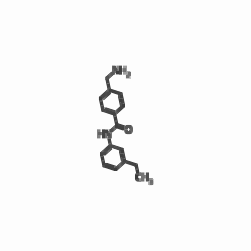 CCc1cccc(NC(=O)c2ccc(CN)cc2)c1